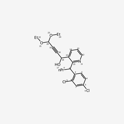 CCCC(c1ccc(Cl)cc1Cl)c1ncccc1C(O)C#CC(OCC)OCC